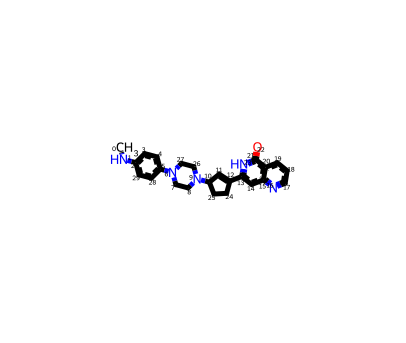 CNc1ccc(N2CCN(C3C=C(c4cc5ncccc5c(=O)[nH]4)CC3)CC2)cc1